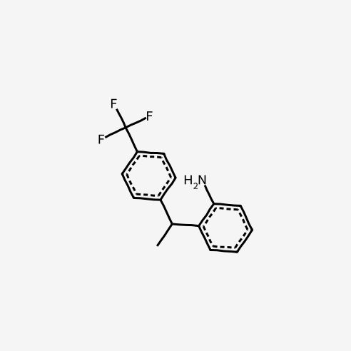 CC(c1ccc(C(F)(F)F)cc1)c1ccccc1N